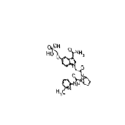 Cc1cccc(NC(=O)[C@@H]2C3CCC(C3)N2C(=O)Cn2cc(C(N)=O)c3cc(OCP(=O)(O)O)ccc32)n1